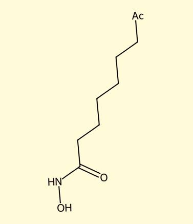 CC(=O)CCCCCCC(=O)NO